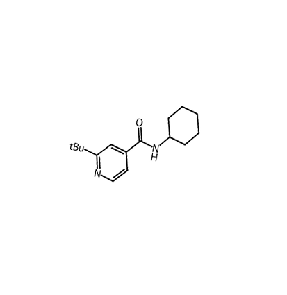 CC(C)(C)c1cc(C(=O)NC2CCCCC2)ccn1